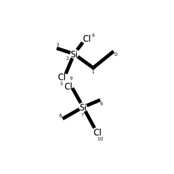 CC[Si](C)(Cl)Cl.C[Si](C)(Cl)Cl